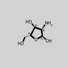 N[C@@H]1[C@H](O)[C@@H](CO)O[C@@H]1O